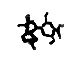 CC[C@@H]1CN(c2nc(=O)n(C)c3ccc(Cl)nc23)[C@@H](CC)CN1C(=O)O